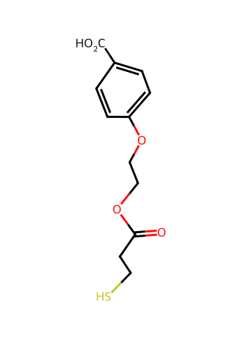 O=C(CCS)OCCOc1ccc(C(=O)O)cc1